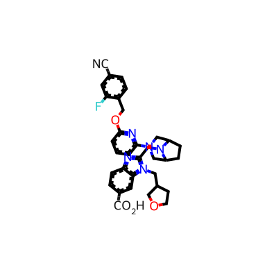 N#Cc1ccc(COc2cccc(N3CC4CCC(C3)N4Cc3nc4ccc(C(=O)O)cc4n3CC3CCOC3)n2)c(F)c1